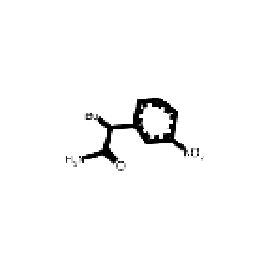 CCC(C)C(C(N)=O)c1cccc([N+](=O)[O-])c1